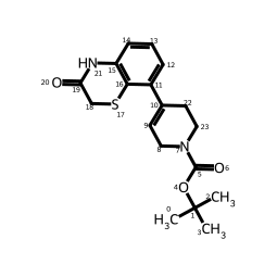 CC(C)(C)OC(=O)N1CC=C(c2cccc3c2SCC(=O)N3)CC1